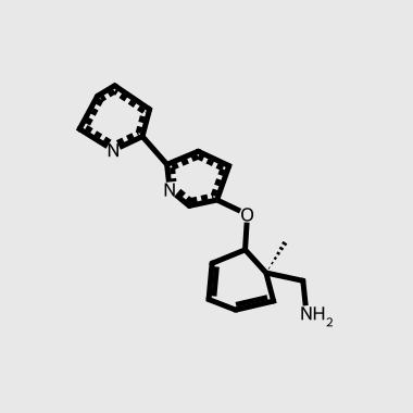 C[C@]1(CN)C=CC=CC1Oc1ccc(-c2ccccn2)nc1